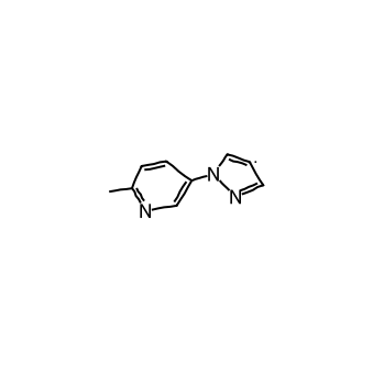 Cc1ccc(-n2c[c]cn2)cn1